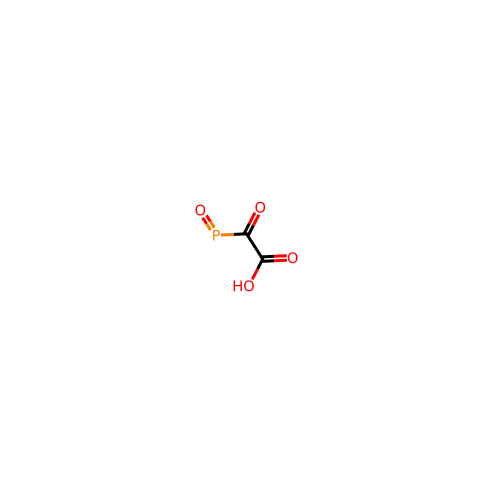 O=PC(=O)C(=O)O